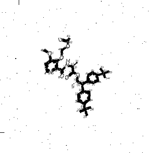 COc1ccnc(C(=O)N[C@@H](C)C(=O)O[C@@H](C)C(c2ccc(C(C)(C)C)cc2)c2ccc(C(C)(C)C)cc2)c1OCOC(C)=O